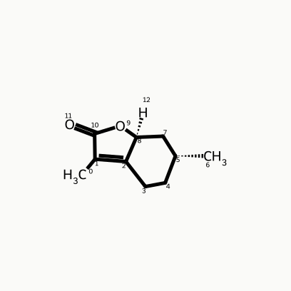 CC1=C2CC[C@@H](C)C[C@@H]2OC1=O